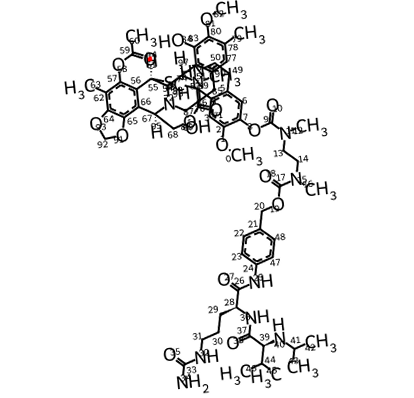 COc1cc2c(cc1OC(=O)N(C)CCN(C)C(=O)OCc1ccc(NC(=O)[C@H](CCCNC(N)=O)NC(=O)[C@@H](NC(C)C)C(C)C)cc1)CCN[C@]21CS[C@@H]2c3c(OC(C)=O)c(C)c4c(c3[C@H](COC1=O)N1[C@@H]2[C@H]2c3c(cc(C)c(OC)c3O)CC([C@@H]1O)N2C)OCO4